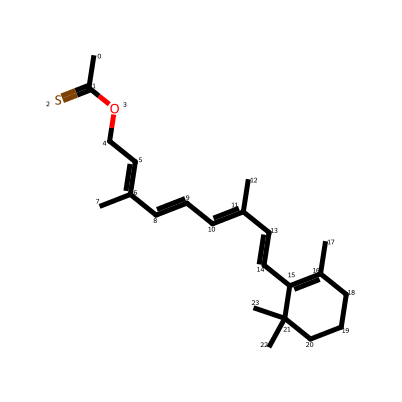 CC(=S)OCC=C(C)C=CC=C(C)C=CC1=C(C)CCCC1(C)C